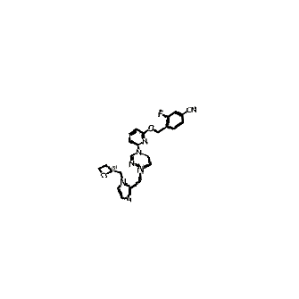 N#Cc1ccc(COc2cccc(N3C=NN(Cc4nccn4C[C@@H]4CCO4)CC3)n2)c(F)c1